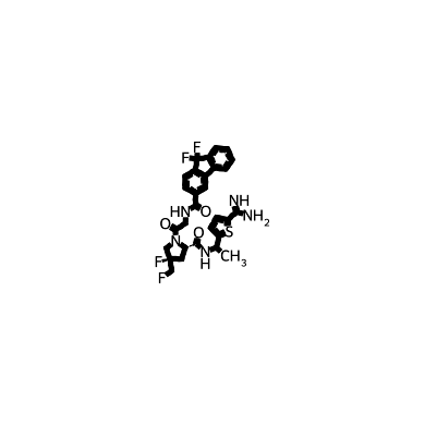 CC(NC(=O)[C@@H]1C[C@](F)(CF)CN1C(=O)CNC(=O)c1ccc2c(c1)-c1ccccc1C2(F)F)c1ccc(C(=N)N)s1